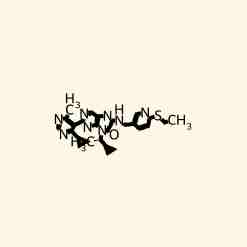 CCSc1ccc(CNc2nc3cnc(-c4c(C)ncnc4C4CC4)nc3n([C@@H](C)C3CC3)c2=O)cn1